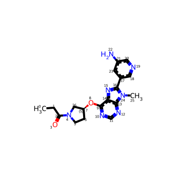 CCC(=O)N1CC[C@H](Oc2ncnc3c2nc(-c2cncc(N)c2)n3C)C1